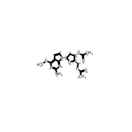 COc1nc(N)nc2c1ccn2[C@@H]1C[C@H](OC(C)=O)[C@@H](COC(C)=O)O1